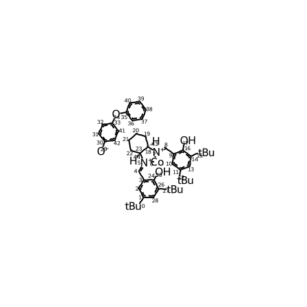 CC(C)(C)c1cc(C=[N+]2[Co][N+](=Cc3cc(C(C)(C)C)cc(C(C)(C)C)c3O)[C@@H]3CCCC[C@H]32)c(O)c(C(C)(C)C)c1.[O-]c1ccc(Oc2ccccc2)cc1